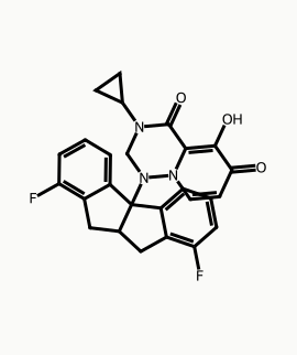 O=C1c2c(O)c(=O)ccn2N(C23c4cccc(F)c4CC2Cc2c(F)cccc23)CN1C1CC1